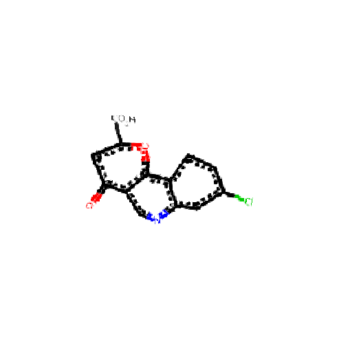 O=C(O)c1cc(=O)c2cnc3cc(Cl)ccc3c2o1